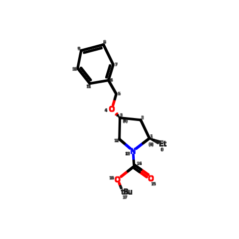 CC[C@@H]1C[C@@H](OCc2ccccc2)CN1C(=O)OC(C)(C)C